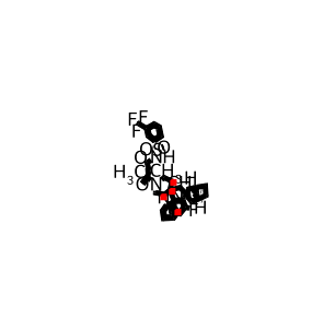 Cc1nc2ccccc2n1[C@H]1C[C@H]2CC[C@@H](C1)N2CCC1(c2cccc(F)c2)CCN(C(=O)C(C)(C)C(=O)NS(=O)(=O)c2cccc(C(F)(F)F)c2)CC1